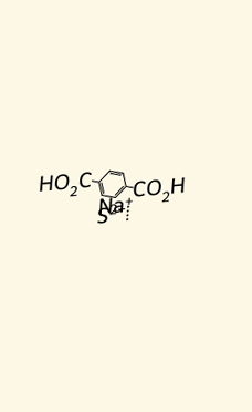 O=C(O)c1ccc(C(=O)O)cc1.[Na+].[S+2]